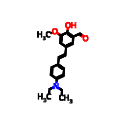 CCN(CC)c1ccc(C=Cc2cc(C=O)c(O)c(OC)c2)cc1